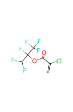 C=C(Cl)C(=O)OC(F)(C(F)F)C(F)(F)F